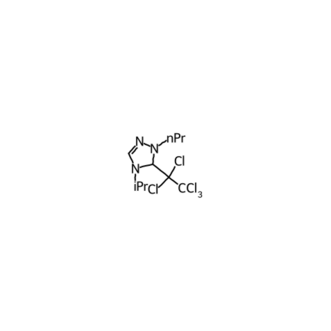 CCCN1N=CN(C(C)C)C1C(Cl)(Cl)C(Cl)(Cl)Cl